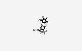 COC(=O)c1cc(Oc2c(F)c(F)c(C)c(F)c2Cl)ccc1S(C)(=O)=O